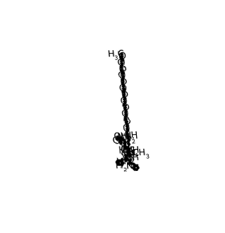 COCCOCCOCCOCCOCCOCCOCCOCCOCCOCCOCCOCCNCCCC[C@@H](NC(=O)[C@@H](CC(C)C)NC(=O)[C@@H](Cc1ccccc1)NC(=O)[C@H](N)Cc1ccccc1)C(=O)N1CCC(N)(C(=O)O)CC1